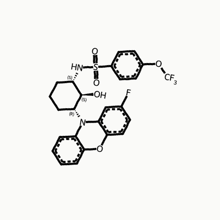 O=S(=O)(N[C@H]1CCC[C@@H](N2c3ccccc3Oc3ccc(F)cc32)[C@@H]1O)c1ccc(OC(F)(F)F)cc1